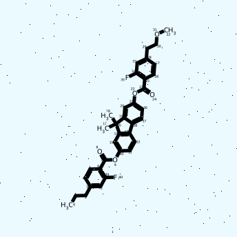 CCCc1ccc(C(=O)Oc2ccc3c(c2)C(C)(C)c2cc(OC(=O)c4ccc(CCOC)cc4F)ccc2-3)c(F)c1